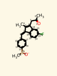 CC(=O)CC1=C(C)/C(=C/c2ccc([S+](C)[O-])cc2)c2ccc(F)cc21